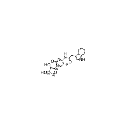 C[C@H]1O[C@@H](n2cc(F)c(NC(=O)Cc3c[nH]c4ccccc34)nc2=O)[C@H](O)[C@@H]1O